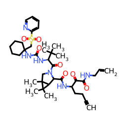 C#CCCC(NC(=O)C1C2C(C)(C)C2(C)CN1C(=O)[C@@H](NC(=O)NC1(CS(=O)(=O)c2ccccn2)CCCCC1)C(C)(C)C)C(=O)C(=O)NCC=C